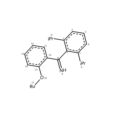 CC(C)c1cccc(C(C)C)c1C(=N)c1ccccc1[O][Ru]